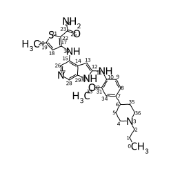 CCCN1CCC(c2ccc(Nc3cc4c(Nc5cc(C)sc5C(N)=O)cncc4[nH]3)c(OC)c2)CC1